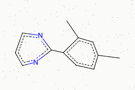 Cc1ccc(-c2ncccn2)c(C)c1